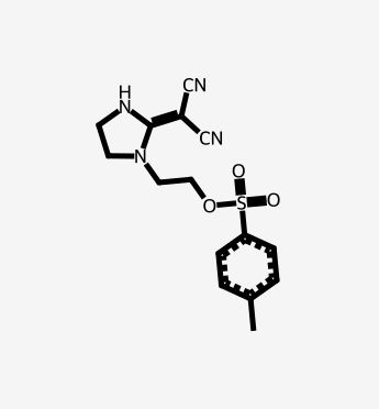 Cc1ccc(S(=O)(=O)OCCN2CCNC2=C(C#N)C#N)cc1